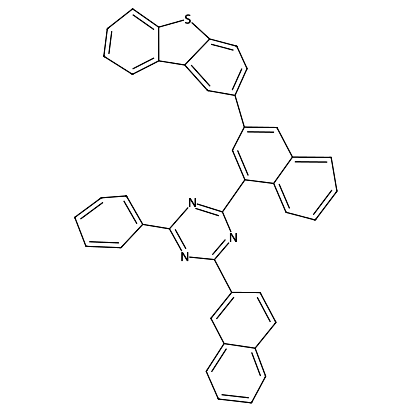 c1ccc(-c2nc(-c3ccc4ccccc4c3)nc(-c3cc(-c4ccc5sc6ccccc6c5c4)cc4ccccc34)n2)cc1